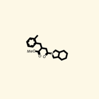 COC(=O)C(CC(=O)N1CC2CCCCC2C1)Cc1ccccc1C